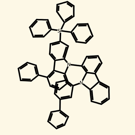 c1ccc(-c2cccc(-n3c4ccccc4c4cccc(-n5c6cc([Si](c7ccccc7)(c7ccccc7)c7ccccc7)ccc6c6c(-c7ccccc7)cccc65)c43)c2)cc1